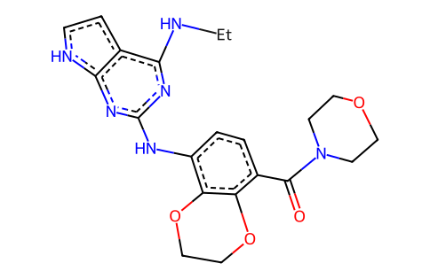 CCNc1nc(Nc2ccc(C(=O)N3CCOCC3)c3c2OCCO3)nc2[nH]ccc12